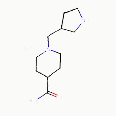 Cl.NC(=O)C1CCN(CC2CCNC2)CC1